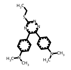 CCSc1nnc(-c2ccc(N(C)C)cc2)c(-c2ccc(N(C)C)cc2)n1